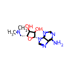 CN(C)C[C@H]1O[C@@H](n2cnc3c(N)ncnc32)C(O)C1O